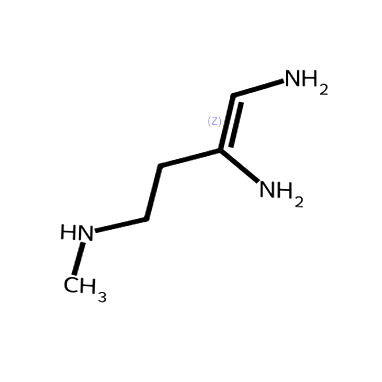 CNCC/C(N)=C/N